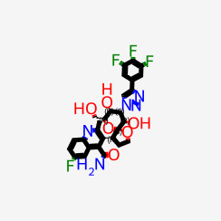 Cc1nc2ccc(F)cc2c(C(N)=O)c1[C@H]1CCO[C@]12O[C@H](CO)[C@H](O)[C@H](n1cc(-c3cc(F)c(F)c(F)c3)nn1)[C@H]2O